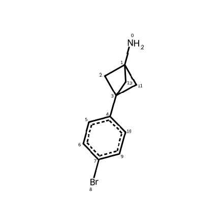 NC12CC(c3ccc(Br)cc3)(C1)C2